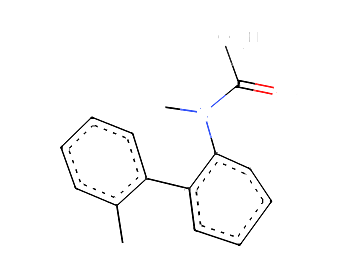 Cc1ccccc1-c1ccccc1N(C)C(=O)C(=O)O